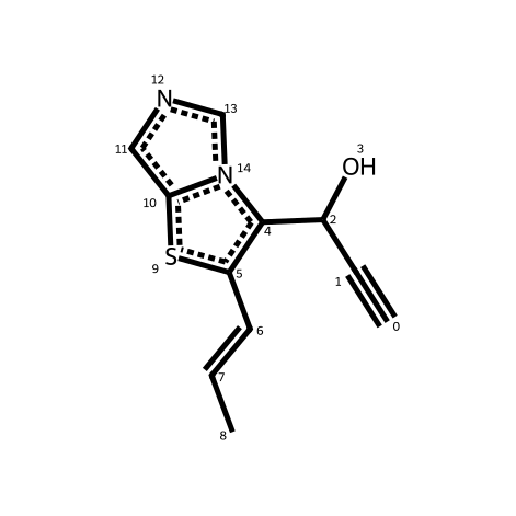 C#CC(O)c1c(/C=C/C)sc2cncn12